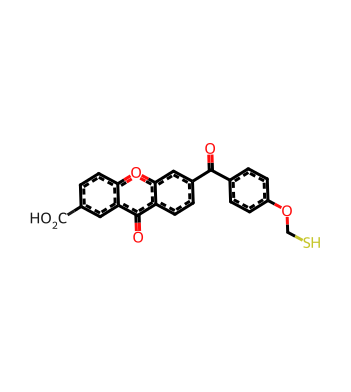 O=C(O)c1ccc2oc3cc(C(=O)c4ccc(OCS)cc4)ccc3c(=O)c2c1